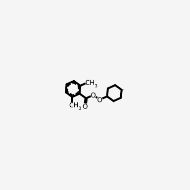 Cc1cccc(C)c1C(=O)OO[C]1CC[CH]CC1